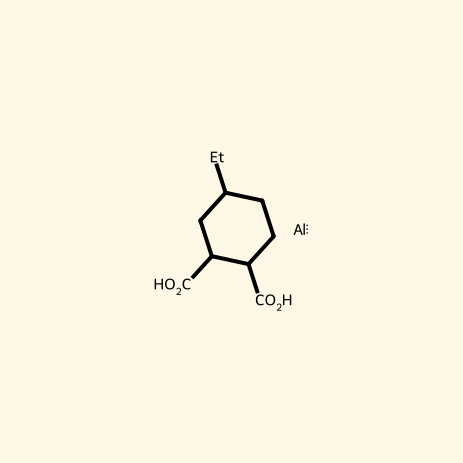 CCC1CCC(C(=O)O)C(C(=O)O)C1.[Al]